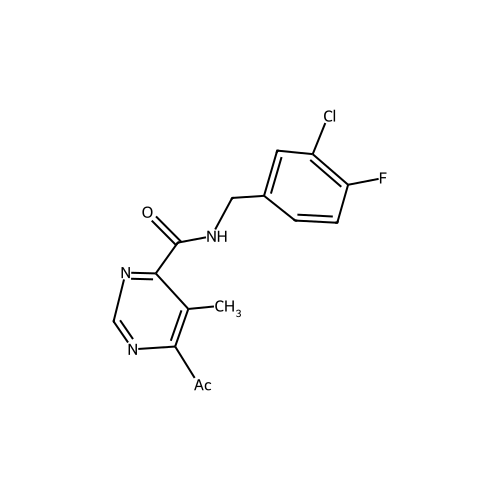 CC(=O)c1ncnc(C(=O)NCc2ccc(F)c(Cl)c2)c1C